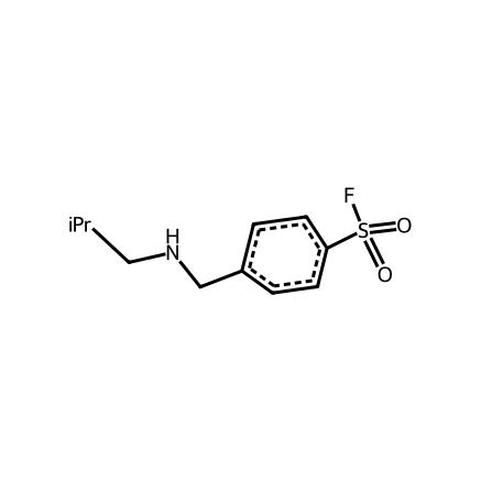 CC(C)CNCc1ccc(S(=O)(=O)F)cc1